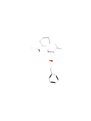 CC(C)C(NC(=O)OCc1ccccc1)C(=O)N1CCCC[C@H]1C(=O)O